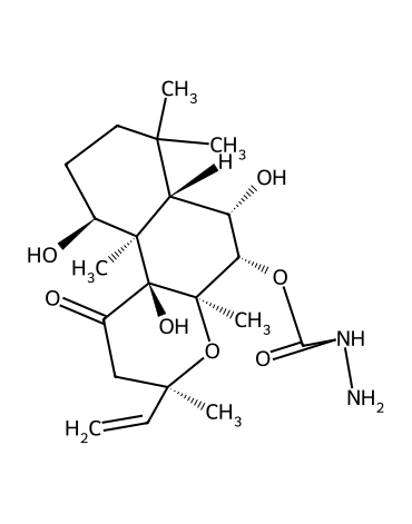 C=C[C@@]1(C)CC(=O)[C@]2(O)[C@@]3(C)[C@@H](O)CCC(C)(C)[C@@H]3[C@H](O)[C@H](OC(=O)NN)[C@@]2(C)O1